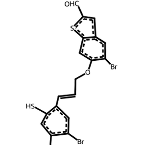 COc1cc(S)c(/C=C/COc2cc3sc(C=O)cc3cc2Br)cc1Br